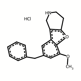 COc1cc(Cc2ccccc2)cc2c3c(oc12)CCNC3.Cl